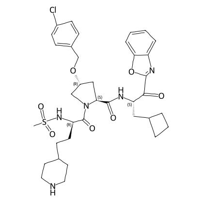 CS(=O)(=O)N[C@H](CCC1CCNCC1)C(=O)N1C[C@H](OCc2ccc(Cl)cc2)C[C@H]1C(=O)N[C@@H](CC1CCC1)C(=O)c1nc2ccccc2o1